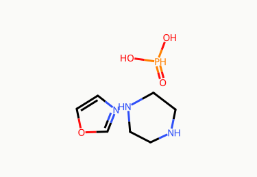 C1CNCCN1.O=[PH](O)O.c1cocn1